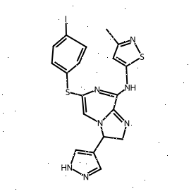 Cc1cc(NC2=NC(Sc3ccc(I)cc3)=CN3C2=NCC3c2cn[nH]c2)sn1